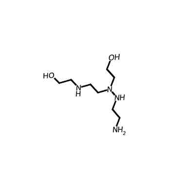 NCCNN(CCO)CCNCCO